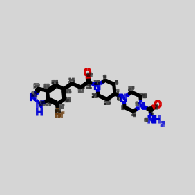 NC(=O)N1CCN(C2CCN(C(=O)[CH]Cc3cc(Br)c4[nH]ncc4c3)CC2)CC1